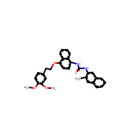 COc1ccc(CCOc2ccc(NC(=O)Nc3cc4ccccc4cc3C)c3ccccc23)cc1OC